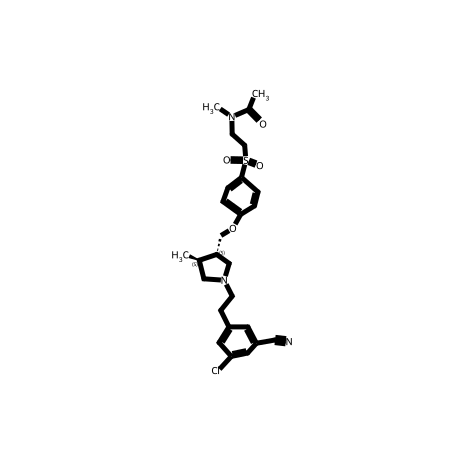 CC(=O)N(C)CCS(=O)(=O)c1ccc(OC[C@@H]2CN(CCc3cc(Cl)cc(C#N)c3)C[C@H]2C)cc1